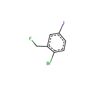 FCc1cc(I)ccc1Br